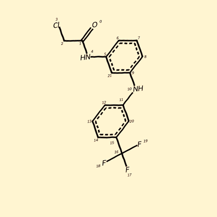 O=C(CCl)Nc1cccc(Nc2cccc(C(F)(F)F)c2)c1